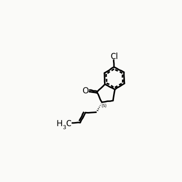 CC=CC[C@H]1Cc2ccc(Cl)cc2C1=O